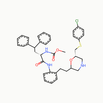 COC(=O)N[C@@H](CC(c1ccccc1)c1ccccc1)C(=O)Nc1ccccc1CCC1CNC[C@@H](CSc2ccc(Cl)cc2)O1